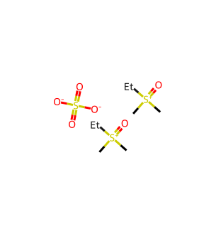 CC[S+](C)(C)=O.CC[S+](C)(C)=O.O=S(=O)([O-])[O-]